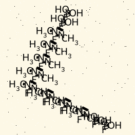 CN1CCN(C)C1F.CN1CCN(C)C1F.CN1CCN(C)C1F.CN1CCN(C)C1F.CN1CCN(C)C1F.CN1CCN(C)C1F.CN1CCN(C)C1F.CN1CCN(C)C1F.OB(O)F.OB(O)F.OB(O)F.OB(O)F